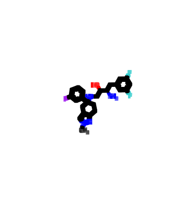 Cn1cc2c(n1)CCC(NC[C@@H](O)[C@@H](N)Cc1cc(F)cc(F)c1)(c1cccc(I)c1)C2